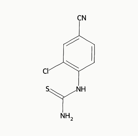 N#Cc1ccc(NC(N)=S)c(Cl)c1